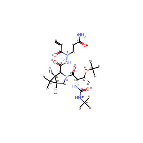 C=CC(=O)N(CCC(N)=O)NC(=O)[C@@H]1[C@@H]2[C@H](CN1C(=O)[C@@H](NC(=O)NC(C)(C)C)[C@@H](C)OC(C)(C)C)C2(C)C